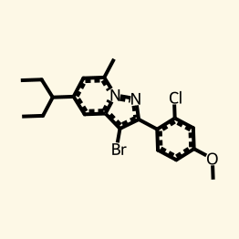 CCC(CC)c1cc(C)n2nc(-c3ccc(OC)cc3Cl)c(Br)c2c1